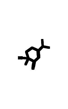 CC(C)C1=CC(=O)C(C)(O)CC1